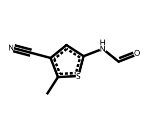 Cc1sc(NC=O)cc1C#N